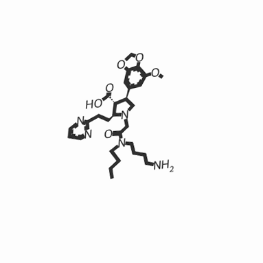 CCCCN(CCCCN)C(=O)CN1C[C@H](c2cc(OC)c3c(c2)OCO3)[C@@H](C(=O)O)[C@@H]1CCc1ncccn1